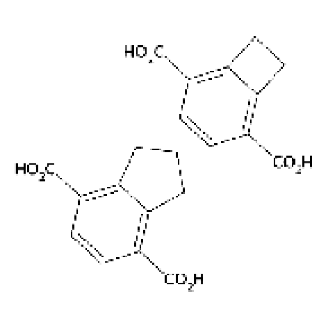 O=C(O)c1ccc(C(=O)O)c2c1CC2.O=C(O)c1ccc(C(=O)O)c2c1CCC2